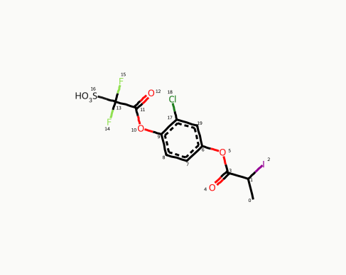 CC(I)C(=O)Oc1ccc(OC(=O)C(F)(F)S(=O)(=O)O)c(Cl)c1